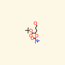 CN(C)C(=O)OC(CCC=O)C(=O)OC(C)(C)C